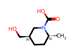 C[C@@H]1CC[C@@H](CO)CN1C(=O)O